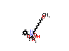 COCCCCCCCCCCCC(=O)N[C@H](C(=O)O)[C@@H](C)OCc1ccccc1